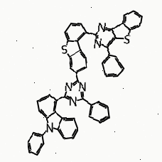 c1ccc(-c2nc(-c3ccc4c(c3)sc3cccc(-c5nc(-c6ccccc6)c6sc7ccccc7c6n5)c34)nc(-c3cccc4c3c3ccccc3n4-c3ccccc3)n2)cc1